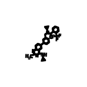 Cc1nc(NC2CC2)c2cc(-c3cccc(CN(C(=O)c4ccccc4C(F)(F)F)C4CC4)c3)ccc2n1